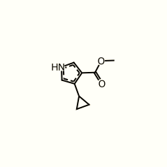 COC(=O)c1c[nH]cc1C1CC1